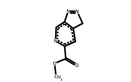 COC(=O)c1cc2c(cn1)N=NC2